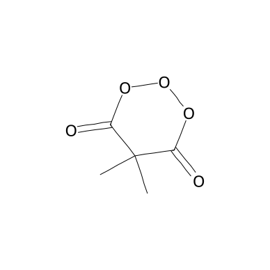 CC1(C)C(=O)OOOC1=O